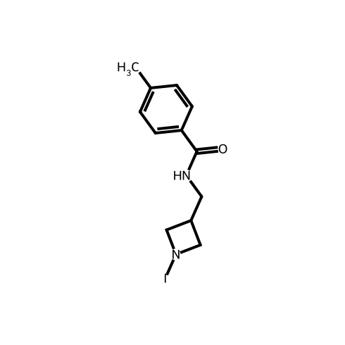 Cc1ccc(C(=O)NCC2CN(I)C2)cc1